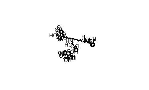 CC1=C(C(=O)O)C(c2cccc([N+](=O)[O-])c2)C(C(=O)O)=C(C)N1C.CC1=C(C(=O)O)C(c2cccc([N+](=O)[O-])c2)C(C(=O)OCCCC(CCCCCCNCC(O)COc2ccccc2C#N)NCC(O)COc2ccccc2Cl)=C(C)N1C.Cl.Cl